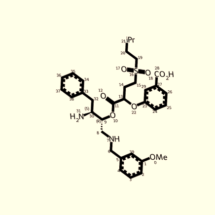 COc1cccc(CNC[C@@H](OC(=O)C(CCS(=O)(=O)CCC(C)C)Oc2cccc(C(=O)O)c2)[C@@H](N)Cc2ccccc2)c1